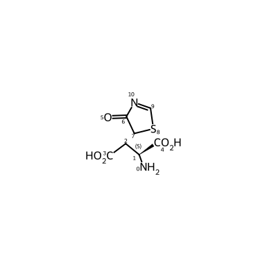 N[C@@H](CC(=O)O)C(=O)O.O=C1CSC=N1